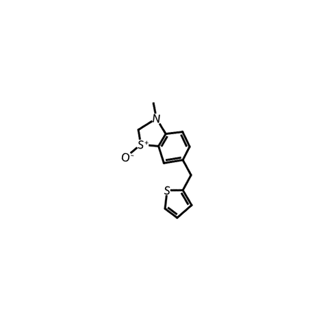 CN1C[S+]([O-])c2cc(Cc3cccs3)ccc21